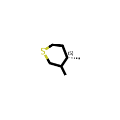 CC1CSCC[C@@H]1C